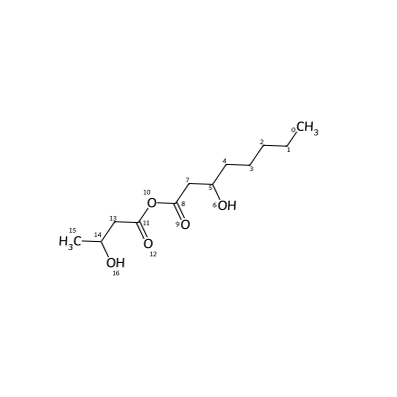 CCCCCC(O)CC(=O)OC(=O)CC(C)O